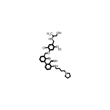 CCOc1cc(OCc2cccc(-c3cccc(NCCCCN4CCCC4)c3C=N)c2Br)c(Cl)cc1CNC(C)CO